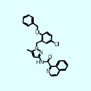 Cc1cc(NC(=O)c2nccc3ccccc23)nn1Cc1cc(Cl)ccc1OCc1ccccc1